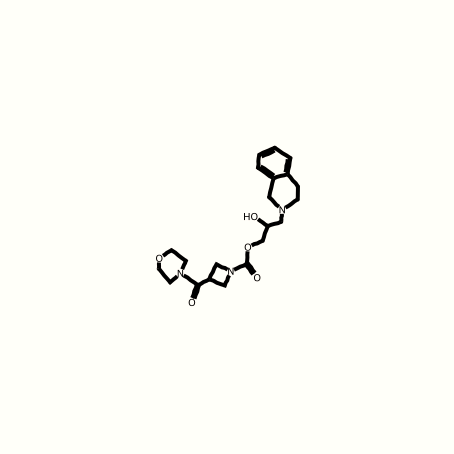 O=C(OCC(O)CN1CCc2ccccc2C1)N1CC(C(=O)N2CCOCC2)C1